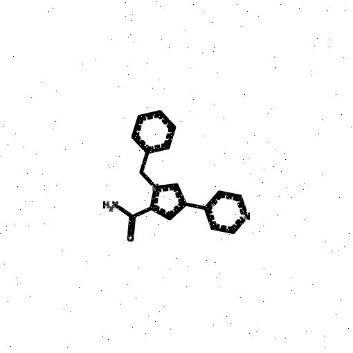 NC(=O)c1cc(-c2ccncc2)cn1Cc1ccccc1